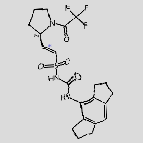 O=C(Nc1c2c(cc3c1CCC3)CCC2)NS(=O)(=O)/C=C/[C@H]1CCCN1C(=O)C(F)(F)F